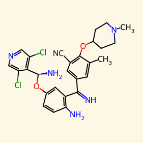 Cc1cc(C(=N)c2cc(O[C@H](N)c3c(Cl)cncc3Cl)ccc2N)cc(C#N)c1OC1CCN(C)CC1